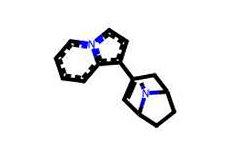 CN1C2C=C(c3ccn4ccccc34)CC1CC2